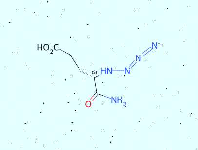 [N-]=[N+]=NN[C@@H](CCC(=O)O)C(N)=O